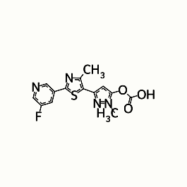 Cc1nc(-c2cncc(F)c2)sc1-c1cc(OC(=O)O)n(C)n1